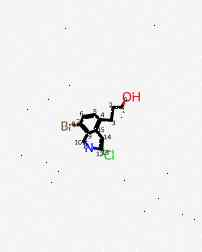 OCCCc1ccc(Br)c2cnc(Cl)cc12